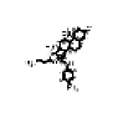 CCCC1O[C@@H]2CC3[C@@H]4CCC5=CC(=O)C=C[C@]5(C)C4[C@@H](O)C[C@]3(C)[C@]2(C(=O)CNc2ccc(N)cc2)O1